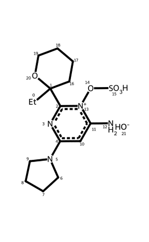 CCC1(c2nc(N3CCCC3)cc(N)[n+]2OS(=O)(=O)O)CCCCO1.[OH-]